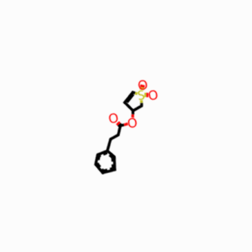 O=C(CCc1ccccc1)OC1C=CS(=O)(=O)C1